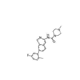 Cc1ccc(F)cc1-c1ccc2cc(NC(=O)N3CCN(C)CC3)ncc2c1